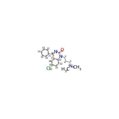 CN(C)CCCN1C(=O)N=S(c2ccccc2)c2cc(Cl)ccc21